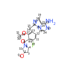 COC1CCN(C(=O)c2c(F)ccc(C(C)c3nc(C)c4c(N)nccn34)c2OC(C)C)C1